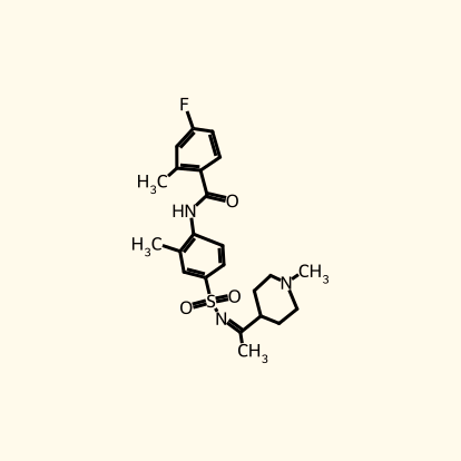 C/C(=N/S(=O)(=O)c1ccc(NC(=O)c2ccc(F)cc2C)c(C)c1)C1CCN(C)CC1